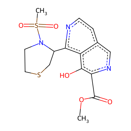 COC(=O)c1ncc2ccnc(C3CSCCN3S(C)(=O)=O)c2c1O